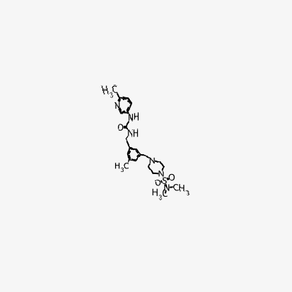 Cc1cc(CNC(=O)Nc2ccc(C)nc2)cc(CN2CCN(S(=O)(=O)N(C)C)CC2)c1